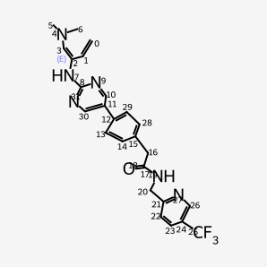 C=C/C(=C\N(C)C)Nc1ncc(-c2ccc(CC(=O)NCc3ccc(C(F)(F)F)cn3)cc2)cn1